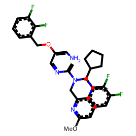 C=C(/N=C\C(=C/N)OCc1cccc(F)c1F)N(Cc1cccc(F)c1F)Cc1nc(OC)ccc1N(CC)CC1CCCC1